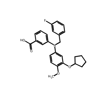 COc1ccc(N(Cc2cccc(F)c2)c2cccc(C(=O)O)c2)cc1OC1CCCC1